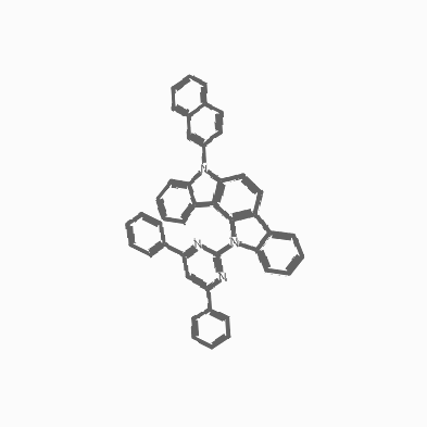 c1ccc(-c2cc(-c3ccccc3)nc(-n3c4ccccc4c4ccc5c(c6ccccc6n5-c5ccc6ccccc6c5)c43)n2)cc1